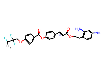 Nc1ccc(CCOC(=O)/C=C/c2ccc(OC(=O)c3ccc(OCC(F)(F)C(F)C(F)(F)F)cc3)cc2)c(N)c1